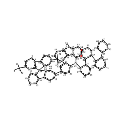 CC(C)(C)c1ccc2c(c1)C1(c3ccccc3-c3ccc(-c4ccc(N(c5ccccc5-c5ccccc5-c5ccccc5-c5ccccc5)c5cccc6oc7ccccc7c56)cc4)cc31)c1cc(C(C)(C)C)ccc1-2